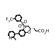 Cc1ncccc1-c1ccc2c(c1)N(S(=O)(=O)c1cccc(C(F)(F)F)c1)C[C@H](CCC(=O)O)O2